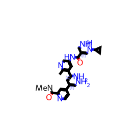 CNC(=O)c1cc(C(/C=C(\N)c2cc(NC(=O)/C(C=N)=C/NC3CC3)cnc2C)=C/N)ccn1